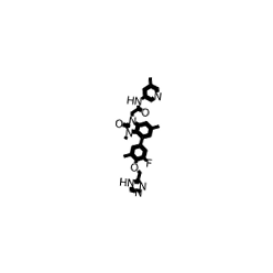 Cc1cncc(NC(=O)Cn2c(=O)n(C)c3c(-c4cc(C)c(OCc5nnc[nH]5)c(F)c4)cc(C)cc32)c1